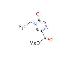 COC(=O)c1cn(CC(F)(F)F)c(=O)cn1